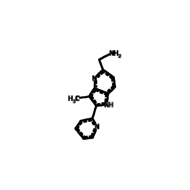 Cc1c(-c2ccccn2)[nH]c2ccc(CN)nc12